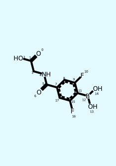 O=C(O)CNC(=O)c1cc(F)c(B(O)O)c(F)c1